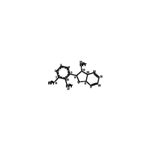 CCCc1cccc(C2[C]C3C=CC=CC3C2CCC)c1CCC